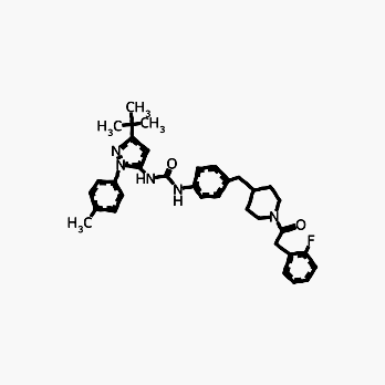 Cc1ccc(-n2nc(C(C)(C)C)cc2NC(=O)Nc2ccc(CC3CCN(C(=O)Cc4ccccc4F)CC3)cc2)cc1